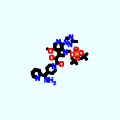 COc1cnc(-n2cnc(C)n2)c2c1c(C(=O)C(=O)N1CCC(=C(N)c3ccccn3)CC1)cn2COP(=O)(OC(C)(C)C)OC(C)(C)C